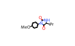 COc1ccc(N2C(=O)NC(C(C)C)C2=O)cc1